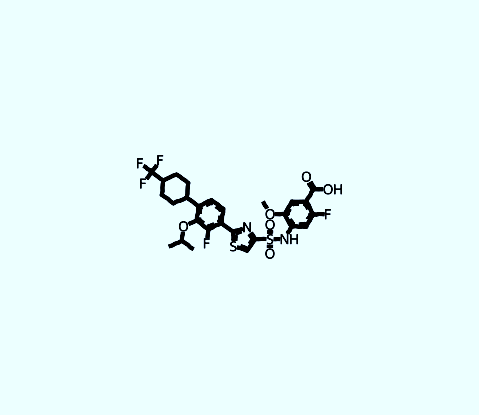 COc1cc(C(=O)O)c(F)cc1NS(=O)(=O)c1csc(-c2ccc(C3CCC(C(F)(F)F)CC3)c(OC(C)C)c2F)n1